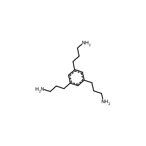 NCCCc1cc(CCCN)cc(CCCN)c1